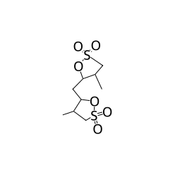 CC1CS(=O)(=O)OC1CC1OS(=O)(=O)CC1C